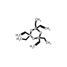 C=C[Si]1(CC)O[Si](C=C)(CC)O[Si](C=C)(CC)O1